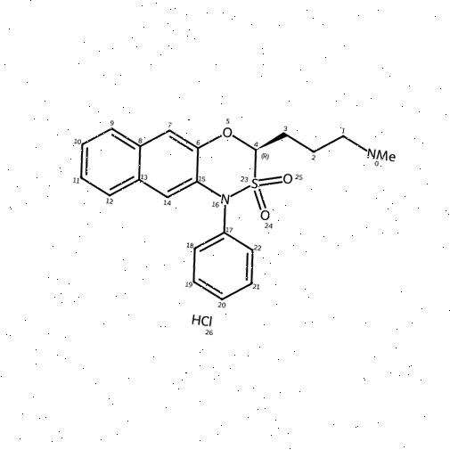 CNCCC[C@@H]1Oc2cc3ccccc3cc2N(c2ccccc2)S1(=O)=O.Cl